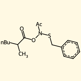 CCCCC(C)C(=O)ON(SCc1ccccc1)C(C)=O